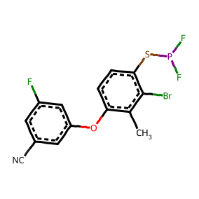 Cc1c(Oc2cc(F)cc(C#N)c2)ccc(SP(F)F)c1Br